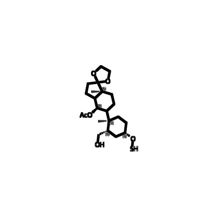 CC(=O)O[C@H]1C2CCC3(OCCO3)[C@@]2(C)CCC1[C@@]1(C)CC[C@H](OS)C[C@@H]1CO